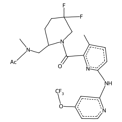 CC(=O)N(C)CC1CCC(F)(F)CN1C(=O)c1nc(Nc2cc(OC(F)(F)F)ccn2)ccc1C